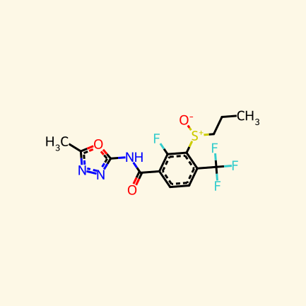 CCC[S+]([O-])c1c(C(F)(F)F)ccc(C(=O)Nc2nnc(C)o2)c1F